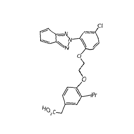 CC(C)c1cc(CC(=O)O)ccc1OCCOc1ccc(Cl)cc1-n1nc2ccccc2n1